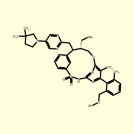 Cc1cccc(COC(C)C)c1-c1nc2nc(c1C)OC[C@@H](CC(C)(C)C)C(Cc1ncc(N3CCC(C)(C)C3)cn1)c1cccc(c1)S(=O)(=O)N2